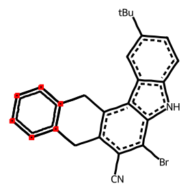 CC(C)(C)c1ccc2[nH]c3c(Br)c(C#N)c4c(c3c2c1)C1c2ccccc2C4c2ccccc21